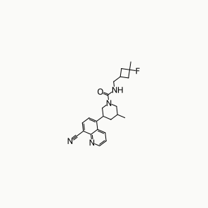 CC1CC(c2ccc(C#N)c3ncccc23)CN(C(=O)NCC2CC(C)(F)C2)C1